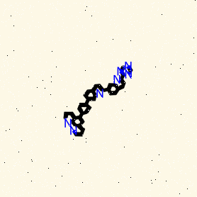 c1cnc2c(c1)cc(-c1ccc(-c3ccc4ccc(-c5ccc6ccc(-c7ncncn7)nc6c5)nc4c3)cc1)c1cccnc12